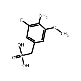 COc1cc(CP(=O)(O)O)cc(F)c1N